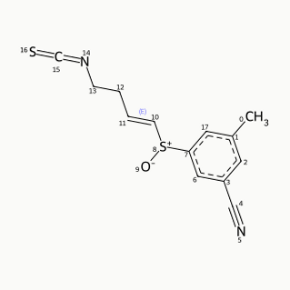 Cc1cc(C#N)cc([S+]([O-])/C=C/CCN=C=S)c1